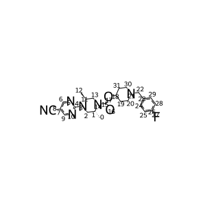 C[C@@H]1CN(c2ncc(C#N)cn2)[C@@H](C)CN1C(=O)OC1CCN(Cc2ccc(F)cc2)CC1